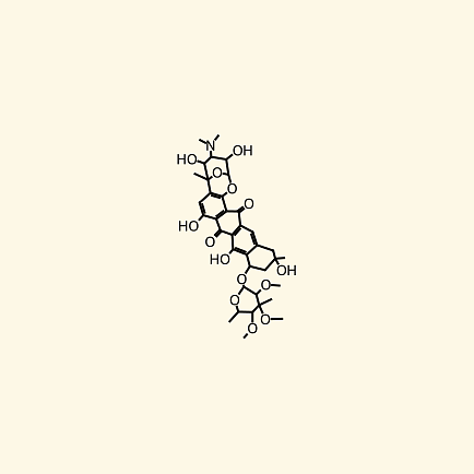 COC1C(C)OC(OC2CC(C)(O)Cc3cc4c(c(O)c32)C(=O)c2c(O)cc3c(c2C4=O)OC2OC3(C)C(O)C(N(C)C)C2O)C(OC)C1(C)OC